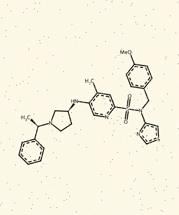 COc1ccc(CN(c2cscn2)S(=O)(=O)c2cc(C)c(N[C@H]3CCN([C@H](C)c4ccccc4)C3)cn2)cc1